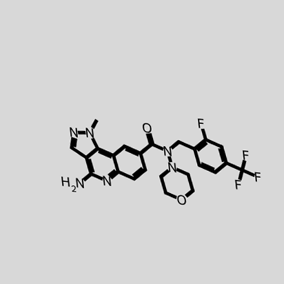 Cn1ncc2c(N)nc3ccc(C(=O)N(Cc4ccc(C(F)(F)F)cc4F)N4CCOCC4)cc3c21